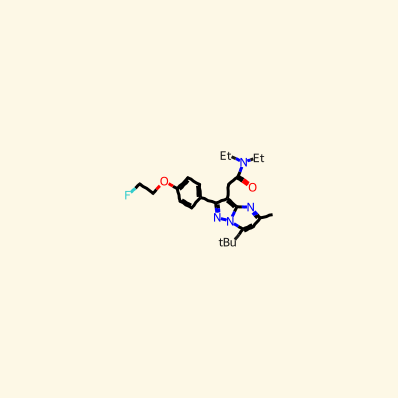 CCN(CC)C(=O)Cc1c(-c2ccc(OCCF)cc2)nn2c(C(C)(C)C)cc(C)nc12